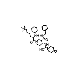 C[N+](C)(C)CCCC[C@@H](NC1CCCCC1)C(=O)N1CC[C@@H](NC(O)N2CCC3(CC2)CC3)[C@@H](C(=O)NCc2ccccc2)C1